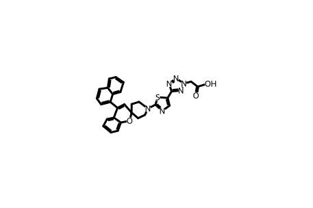 O=C(O)Cn1nnc(-c2cnc(N3CCC4(C=C(c5cccc6ccccc56)c5ccccc5O4)CC3)s2)n1